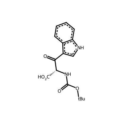 CC(C)(C)OC(=O)N[C@H](C(=O)O)C(=O)c1c[nH]c2ccccc12